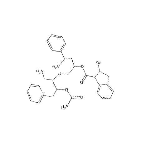 NCC(OCC(CC(N)c1ccccc1)OC(=O)C1c2ccccc2CC1O)C(Cc1ccccc1)OC(N)=O